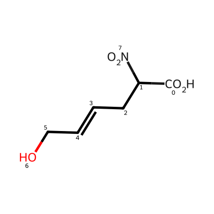 O=C(O)C(CC=CCO)[N+](=O)[O-]